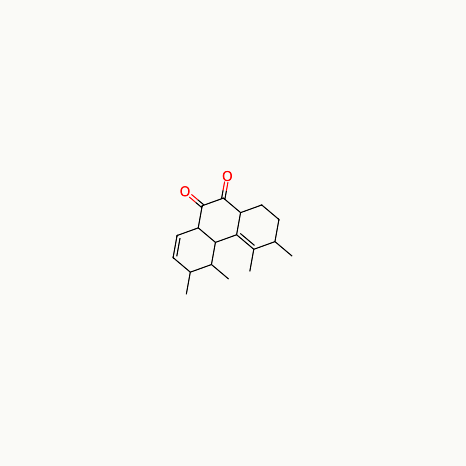 CC1=C2C(CCC1C)C(=O)C(=O)C1C=CC(C)C(C)C21